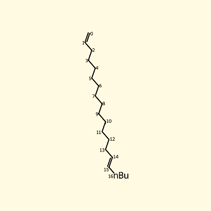 C=CCCCCCCCC[CH]CCCC=CCCCC